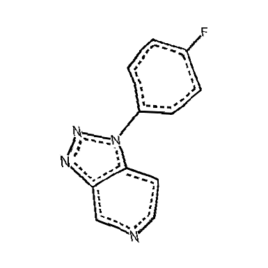 Fc1ccc(-n2nnc3cnccc32)cc1